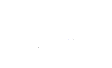 Cc1c(/C(=N/O)c2ccc(F)cc2)cnc(C(=O)NO)c1O